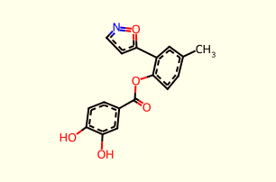 Cc1ccc(OC(=O)c2ccc(O)c(O)c2)c(-c2ccno2)c1